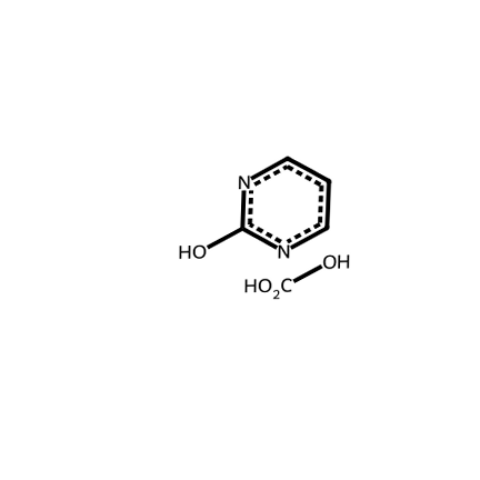 O=C(O)O.Oc1ncccn1